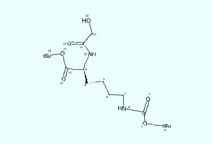 CC(C)(C)OC(=O)NCCCC[C@H](NC(=O)CO)C(=O)OC(C)(C)C